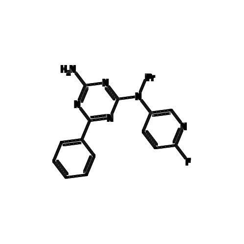 CC(C)N(c1ccc(F)nc1)c1nc(N)nc(-c2ccccc2)n1